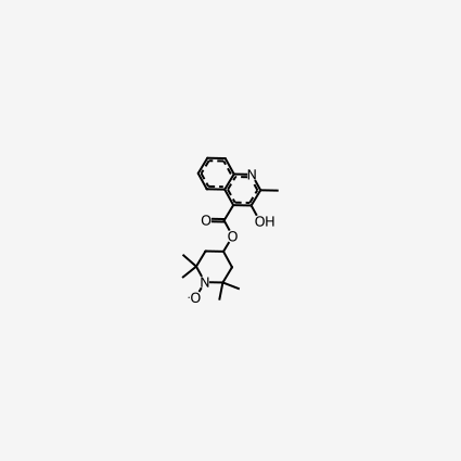 Cc1nc2ccccc2c(C(=O)OC2CC(C)(C)N([O])C(C)(C)C2)c1O